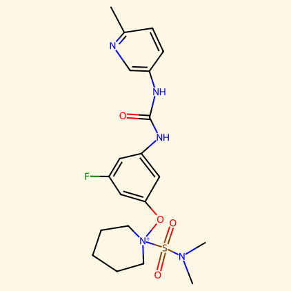 Cc1ccc(NC(=O)Nc2cc(F)cc(O[N+]3(S(=O)(=O)N(C)C)CCCCC3)c2)cn1